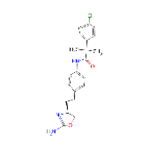 CC(C)(C(=O)Nc1ccc(CC[C@H]2COC(N)=N2)cc1)c1ccc(Cl)cc1